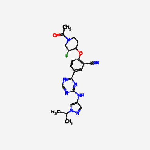 CC(=O)N1CCC(Oc2ccc(-c3ncnc(Nc4cnn(C(C)C)c4)n3)cc2C#N)C(F)C1